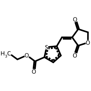 CCOC(=O)c1ccc(C=C2C(=O)COC2=O)s1